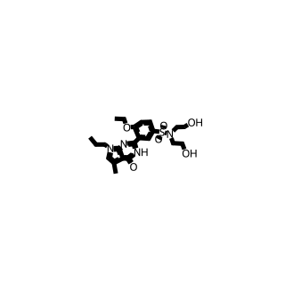 CCCn1cc(C)c2c(=O)[nH]c(-c3cc(S(=O)(=O)N(CCO)CCO)ccc3OCC)nc21